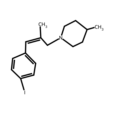 CC(=Cc1ccc(I)cc1)CN1CCC(C)CC1